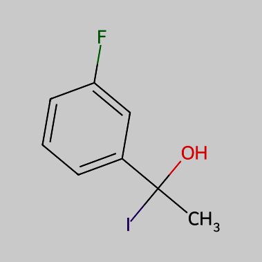 CC(O)(I)c1cccc(F)c1